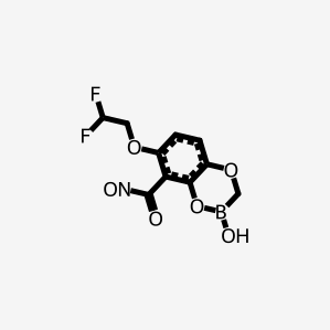 O=NC(=O)c1c(OCC(F)F)ccc2c1OB(O)CO2